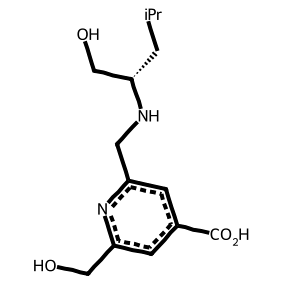 CC(C)C[C@@H](CO)NCc1cc(C(=O)O)cc(CO)n1